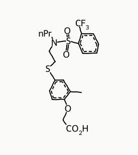 CCCN(CCSc1ccc(OCC(=O)O)c(C)c1)S(=O)(=O)c1ccccc1C(F)(F)F